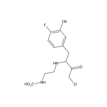 N#Cc1cc(CC(NCCNC(=O)O)C(=O)CCl)ccc1F